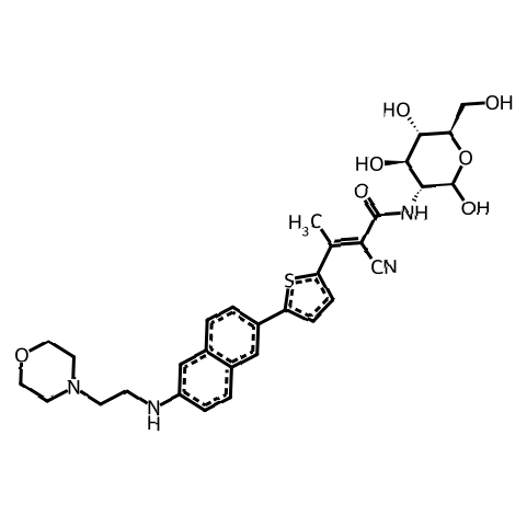 C/C(=C(/C#N)C(=O)N[C@H]1C(O)O[C@H](CO)[C@@H](O)[C@@H]1O)c1ccc(-c2ccc3cc(NCCN4CCOCC4)ccc3c2)s1